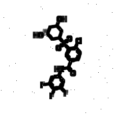 O=C(Nc1cc(F)c(F)c(F)c1)c1ccc(Cl)c(S(=O)(=O)C2CC(O)C[C@@H](O)C2)c1